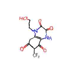 O=C1Cc2c([nH]c(=O)c(=O)n2CCO)C(=O)C1C(F)(F)F